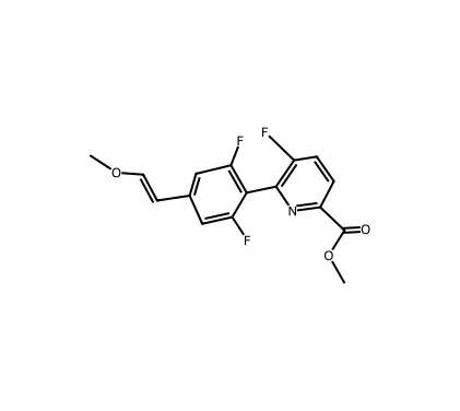 CO/C=C/c1cc(F)c(-c2nc(C(=O)OC)ccc2F)c(F)c1